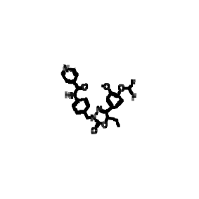 CCC1OC(=O)N(Cc2ccc(NC(=O)c3ccncc3)cc2)N=C1c1ccc(OC(F)F)c(OC)c1